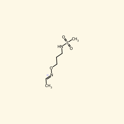 C/C=N/OCCCNS(C)(=O)=O